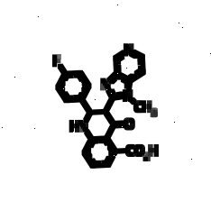 Cn1c(C2C(=O)c3c(cccc3C(=O)O)NC2c2ccc(F)cc2)nc2cnccc21